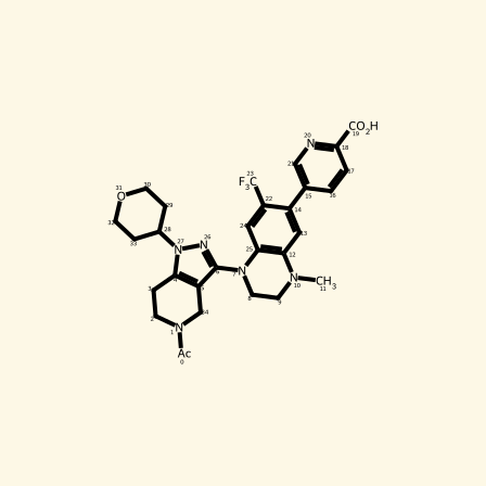 CC(=O)N1CCc2c(c(N3CCN(C)c4cc(-c5ccc(C(=O)O)nc5)c(C(F)(F)F)cc43)nn2C2CCOCC2)C1